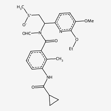 CCOc1nc(C(C[S+](C)[O-])N(C=O)C(=O)c2cccc(NC(=O)C3CC3)c2C)ccc1OC